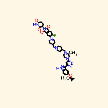 C[C@H]1CN(c2cc(-c3n[nH]c4ccc(OC5(C)CC5)cc34)ncn2)CCN1CC1CCN(CC2CCN(c3cc4c(cc3F)C(=O)N(C3CCC(=O)NC3=O)C4=O)CC2)CC1